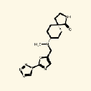 CN(Cc1cnc(-n2cnnn2)s1)[C@H]1CC[C@@]2(CCNC2=O)CC1